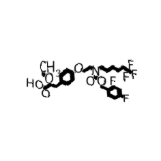 CCOC(Cc1ccc(OCCN(CCCCCC(F)(F)F)C(=O)OCc2ccc(F)cc2F)cc1)C(=O)O